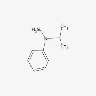 CC(C)N([SiH3])c1ccccc1